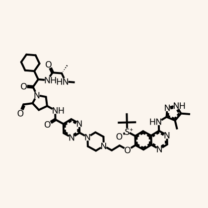 CN[C@@H](C)C(=O)NC(C(=O)N1CC(NC(=O)c2cnc(N3CCN(CCOc4cc5ncnc(Nc6n[nH]c(C)c6C)c5cc4[S+]([O-])C(C)(C)C)CC3)nc2)CC1C=O)C1CCCCC1